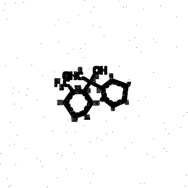 O=CC(O)(c1ccccc1)c1ccccc1C(F)(F)F